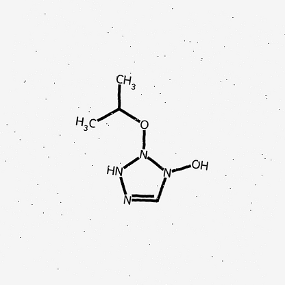 CC(C)ON1NN=CN1O